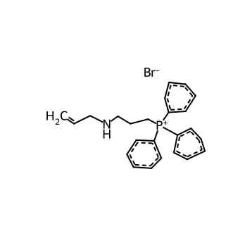 C=CCNCCC[P+](c1ccccc1)(c1ccccc1)c1ccccc1.[Br-]